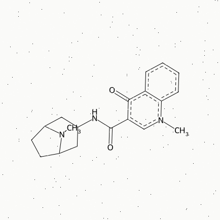 CN1C2CCC1CC(NC(=O)c1cn(C)c3ccccc3c1=O)C2